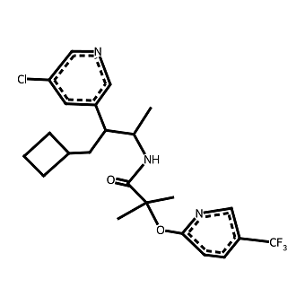 CC(NC(=O)C(C)(C)Oc1ccc(C(F)(F)F)cn1)C(CC1CCC1)c1cncc(Cl)c1